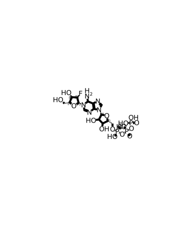 NC1c2ncn([C@@H]3O[C@H](COP(=O)(O)OP(=O)(O)OP(=O)(O)O)C(O)C3O)c2N=CN1[C@@H]1O[C@H](CO)[C@@H](O)[C@H]1F